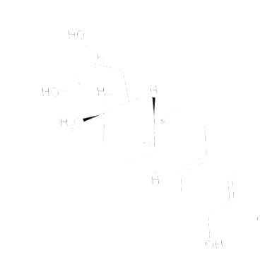 C[C@]12CC[C@@H]3c4cc(O)c(O)cc4CC[C@H]3[C@@H]1C[C@@H](O)[C@H]2O